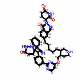 N#CC1(C2(Cc3cccc(-c4nccc(OCC5CCNCC5CCCCCc5ccc6c(=O)n(C7CCC(=O)NC7=O)ncc6c5)n4)c3)C=CC(=O)NN2)C=CC=CC1